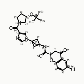 O=C1C[C@H](C(=O)NC23CC(n4cnc(C(=O)N5CC[C@H](OC(F)(F)F)C5)c4)(C2)C3)Oc2ccc(Cl)cc21